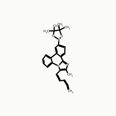 C=C=C/C=C\c1c(C)nc2c3ccc(B4OC(C)(C)C(C)(C)O4)cc3c3ccccc3n12